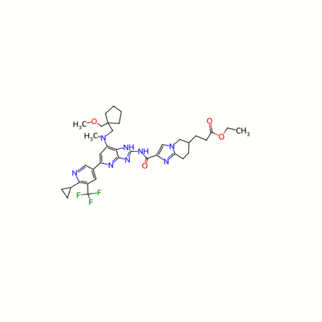 CCOC(=O)CCC1CCc2nc(C(=O)Nc3nc4nc(-c5cnc(C6CC6)c(C(F)(F)F)c5)cc(N(C)CC5(COC)CCCC5)c4[nH]3)cn2C1